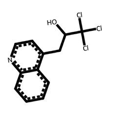 OC(Cc1ccnc2ccccc12)C(Cl)(Cl)Cl